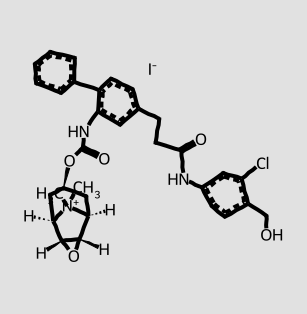 C[N+]1(C)[C@@H]2C[C@@H](OC(=O)Nc3cc(CCC(=O)Nc4ccc(CO)c(Cl)c4)ccc3-c3ccccc3)C[C@H]1[C@@H]1O[C@@H]12.[I-]